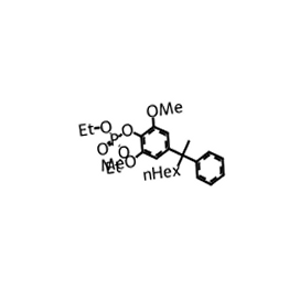 CCCCCCC(C)(c1ccccc1)c1cc(OC)c(OP(=O)(OCC)OCC)c(OC)c1